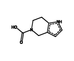 O=C(O)N1CCc2[nH]ccc2C1